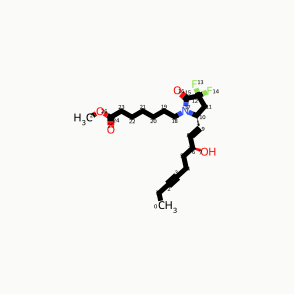 CCC#CCC[C@H](O)C=C[C@H]1CC(F)(F)C(=O)N1CCCCCCC(=O)OC